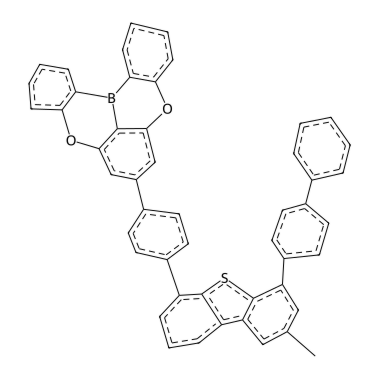 Cc1cc(-c2ccc(-c3ccccc3)cc2)c2sc3c(-c4ccc(-c5cc6c7c(c5)Oc5ccccc5B7c5ccccc5O6)cc4)cccc3c2c1